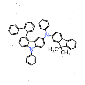 CC1(C)c2ccccc2-c2ccc(N(c3ccccc3)c3ccc4c(c3)c3c(-c5ccccc5-c5ccccc5)cccc3n4-c3ccccc3)cc21